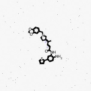 CC(/C=C/C(=O)Nc1cc(-c2cccs2)ccc1N)=C1/CCN(Cc2ccc3c(c2)OCO3)C1